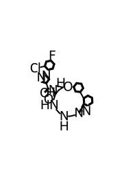 O=C1NCCNCCn2cc3c(cccc3n2)-c2cccc(c2)O[C@H]2C[C@@H]1N(C(=O)c1cnn(-c3ccc(F)cc3Cl)c1)C2